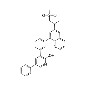 CC(CS(C)(=O)=O)c1cc(-c2cccc(-c3cc(-c4ccccc4)cnc3O)c2)c2ncccc2c1